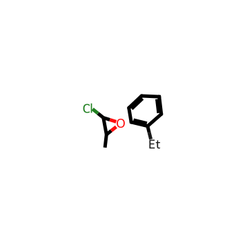 CC1OC1Cl.CCc1ccccc1